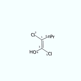 CCC/C(Cl)=C(/O)Cl